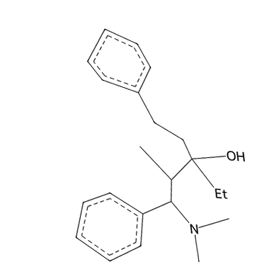 CCC(O)(CCc1ccccc1)C(C)C(c1ccccc1)N(C)C